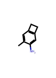 Cc1cc2c(cc1N)CC2